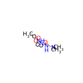 Cc1ccc(S(=O)(=O)Nc2cccc3ccc(C(=O)NCCCN(C)C)nc23)cc1